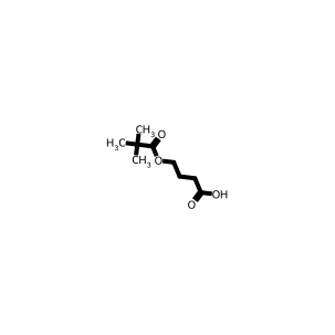 CC(C)(C)C(=O)OCCCC(=O)O